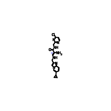 N/C(=C\NCc1cn2cc(C3CC3)ccc2n1)C(=O)NCc1nccc(Cl)n1